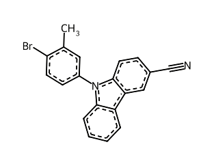 Cc1cc(-n2c3ccccc3c3cc(C#N)ccc32)ccc1Br